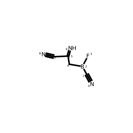 N#CB(F)CC(=N)C#N